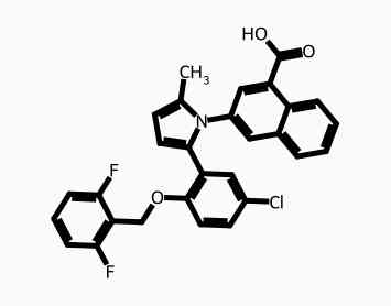 Cc1ccc(-c2cc(Cl)ccc2OCc2c(F)cccc2F)n1-c1cc(C(=O)O)c2ccccc2c1